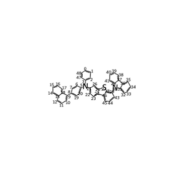 c1ccc(N(c2ccc(-c3cccc4ccccc34)cc2)c2ccc3c(c2)sc2c(-n4c5ccccc5c5ccccc54)cccc23)cc1